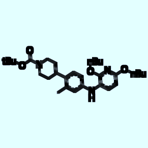 CCCCOc1ccc(Nc2ccc(C3=CCN(C(=O)OC(C)(C)C)CC3)c(C)c2)c(OCCCC)n1